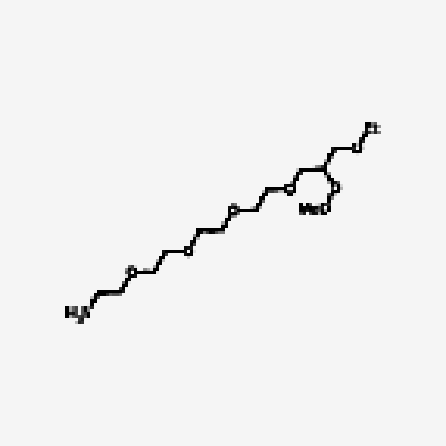 CCOCC(COCCOCCOCCOCCN)OOC